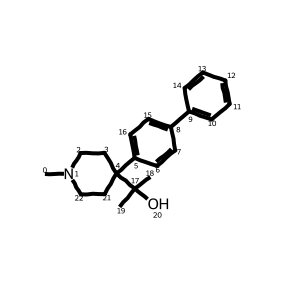 CN1CCC(c2ccc(-c3ccccc3)cc2)(C(C)(C)O)CC1